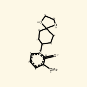 COc1cccn(C2CCC3(CC2)OCCO3)c1=O